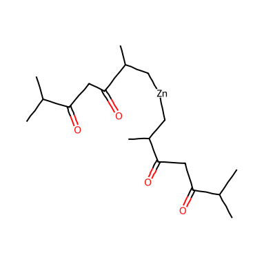 CC(C)C(=O)CC(=O)C(C)[CH2][Zn][CH2]C(C)C(=O)CC(=O)C(C)C